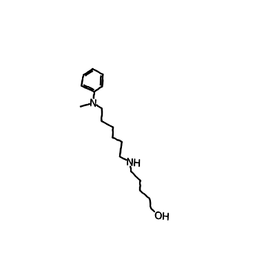 CN(CCCCCCNCCCCCO)c1ccccc1